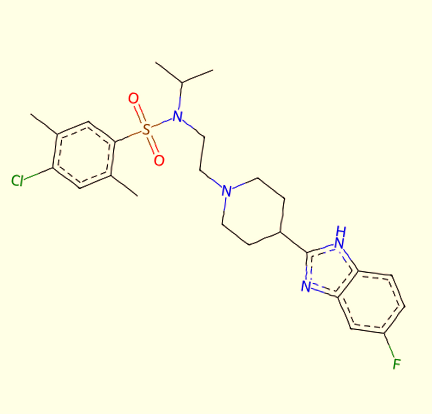 Cc1cc(S(=O)(=O)N(CCN2CCC(c3nc4cc(F)ccc4[nH]3)CC2)C(C)C)c(C)cc1Cl